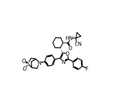 N#CC1(NC(=O)[C@@H]2CCCC[C@H]2c2oc(-c3ccc(F)cc3)nc2-c2ccc(N3CC4CC3CS4(=O)=O)cc2)CC1